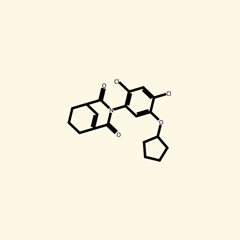 O=C1C2=CC(CCC2)C(=O)N1c1cc(OC2CCCC2)c(Cl)cc1Cl